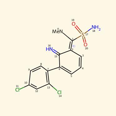 CN/C(=C1/C=CC=C(c2ccc(Cl)cc2Cl)C1=N)S(N)(=O)=O